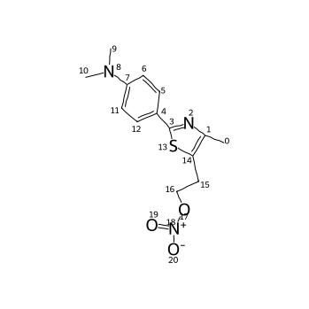 Cc1nc(-c2ccc(N(C)C)cc2)sc1CCO[N+](=O)[O-]